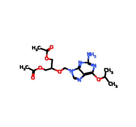 CC(=O)OCC(COC(C)=O)OCn1cnc2c(OC(C)C)nc(N)nc21